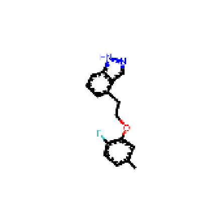 Cc1ccc(F)c(OCCc2cccc3[nH]ncc23)c1